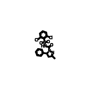 CC1=NN(C(=O)NS(=O)(=O)c2c(Cl)cccc2Cl)C(c2ccccc2)C1